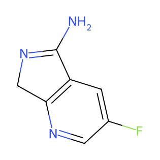 NC1=NCc2ncc(F)cc21